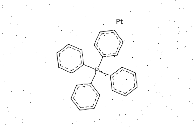 [Pt].c1ccc([P](c2ccccc2)(c2ccccc2)c2ccccc2)cc1